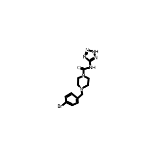 O=C(Nc1nn[nH]n1)N1CCN(Cc2ccc(Br)cc2)CC1